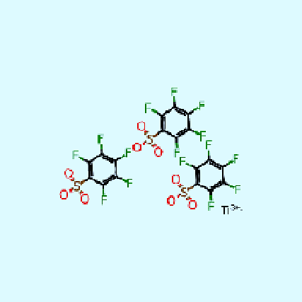 O=S(=O)([O-])c1c(F)c(F)c(F)c(F)c1F.O=S(=O)([O-])c1c(F)c(F)c(F)c(F)c1F.O=S(=O)([O-])c1c(F)c(F)c(F)c(F)c1F.[Ti+3]